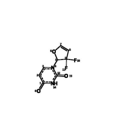 O=c1ccn(C2OC=CC2(F)F)c(=O)[nH]1